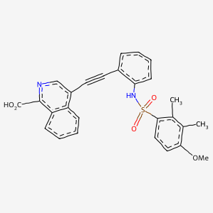 COc1ccc(S(=O)(=O)Nc2ccccc2C#Cc2cnc(C(=O)O)c3ccccc23)c(C)c1C